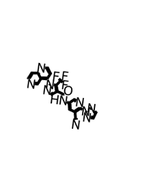 N#Cc1cc(NC(=O)c2cnn(-c3ccnc4ccncc34)c2C(F)(F)F)cnc1-n1nccn1